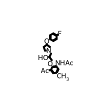 CC(=O)Nc1cc(C)cc(C(C)=O)c1OCC(O)CN1CCC(Oc2ccc(F)cc2)C1